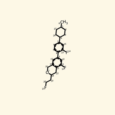 CC1CCC(c2ccc(-c3cc(F)c4c(c3)COC(CCF)C4)c(F)c2)CC1